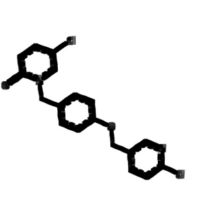 O=c1ccc(Cl)cn1Cc1ccc(OCc2ccc(Cl)nc2)cc1